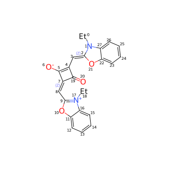 CCN1/C(=C/C2=C([O-])C(=C/c3oc4ccccc4[n+]3CC)/C2=O)Oc2ccccc21